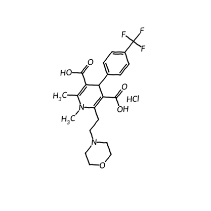 CC1=C(C(=O)O)C(c2ccc(C(F)(F)F)cc2)C(C(=O)O)=C(CCN2CCOCC2)N1C.Cl